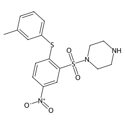 Cc1cccc(Sc2ccc([N+](=O)[O-])cc2S(=O)(=O)N2CCNCC2)c1